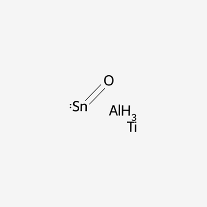 [AlH3].[O]=[Sn].[Ti]